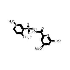 CCOC(=O)C1=CCN(C)C=C1S(=O)(=O)NNC(=O)c1cc(OC)cc(OC)n1